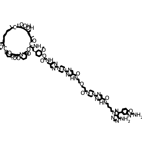 CO[C@H]1C[C@@H]2CC[C@@H](C)[C@@](O)(O2)C(=O)C(=O)N2CCCC[C@H]2C(=O)O[C@H]([C@H](N)C[C@@H]2CC[C@@H](OC(=O)NCc3cnc(N4CCN(c5ncc(C(=O)NCCOCCC(=O)N6CCN(c7ncc(C(=O)NCCCCn8nc(-c9ccc%10oc(N)nc%10c9)c9c(N)ncnc98)cn7)CC6)cn5)CC4)nc3)[C@H](OC)C2)CC(=O)[C@H](C)/C=C(\C)[C@@H](O)[C@@H](O)C(=O)[C@H](C)C[C@H](C)/C=C/C=C/C=C/1C